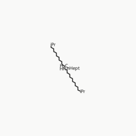 CC(C)CCCCCCCCCCNCCCCCCCCCCC(C)C.CCCCCCCC